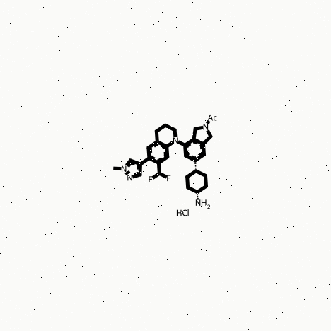 CC(=O)N1Cc2cc([C@H]3CC[C@@H](N)CC3)cc(N3CCCc4cc(-c5cnn(C)c5)c(C(F)F)cc43)c2C1.Cl